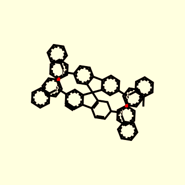 Cc1ccccc1N(c1ccccc1)c1ccc2c(c1)C1(C3=C(C=CC(N(c4ccccc4)c4ccccc4)C3)c3c#cc(N(c4ccccc4)c4ccccc4)cc31)c1cc(N(c3ccccc3)c3ccccc3)ccc1-2